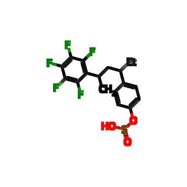 CCC(CC(C)c1c(F)c(F)c(F)c(F)c1F)c1ccc(OS(=O)O)cc1